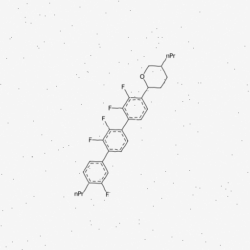 CCCc1ccc(-c2ccc(-c3ccc(C4CCC(CCC)CO4)c(F)c3F)c(F)c2F)cc1F